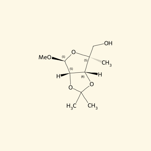 CO[C@H]1O[C@@](C)(CO)[C@@H]2OC(C)(C)O[C@H]12